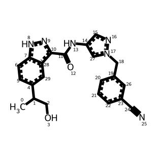 CC(CO)c1ccc2[nH]nc(C(=O)Nc3cnn(Cc4cccc(C#N)c4)c3)c2c1